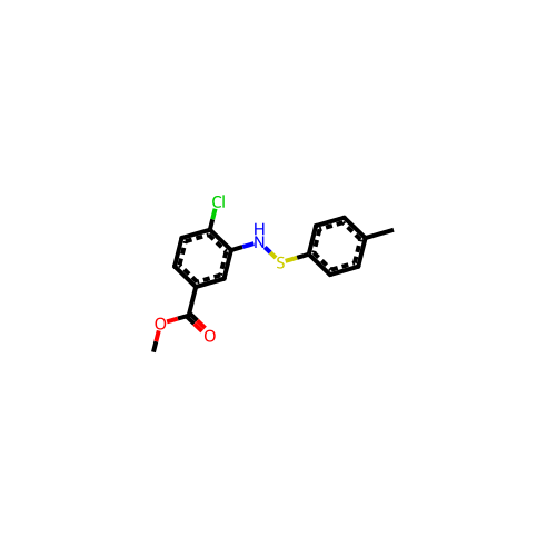 COC(=O)c1ccc(Cl)c(NSc2ccc(C)cc2)c1